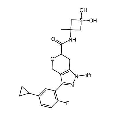 CC(C)n1nc(-c2cc(C3CC3)ccc2F)c2c1CC(C(=O)NC1(C)CS(O)(O)C1)OC2